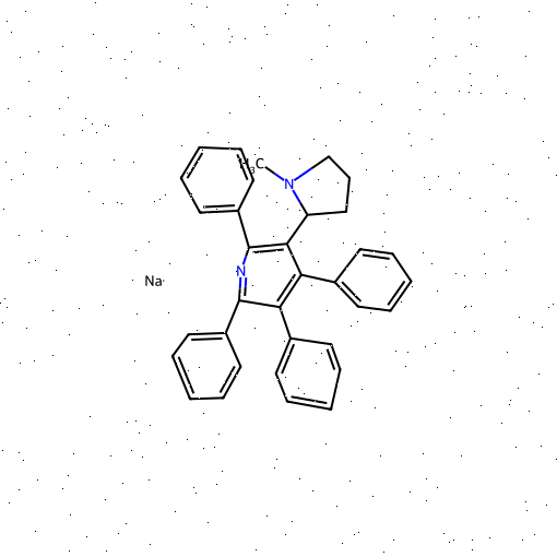 CN1CCCC1c1c(-c2ccccc2)nc(-c2ccccc2)c(-c2ccccc2)c1-c1ccccc1.[Na]